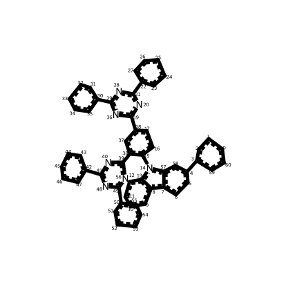 c1ccc(-c2ccc3c4ccccc4n(-c4ccc(-c5nc(-c6ccccc6)nc(-c6ccccc6)n5)cc4-c4nc(-c5ccccc5)nc(-c5ccccc5)n4)c3c2)cc1